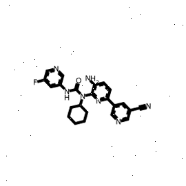 N#Cc1cncc(-c2ccc(N)c(N(C(=O)Nc3cncc(F)c3)C3CCCCC3)n2)c1